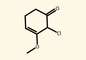 COC1=CCCC(=O)C1Cl